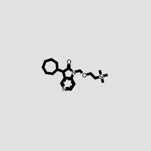 C[Si](C)(C)CCOCN1C(=O)C(C2CCCCCC2)c2cnccc21